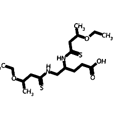 CCOC(C)CC(=S)NCC(CCC(=O)O)NC(=S)CC(C)OCC